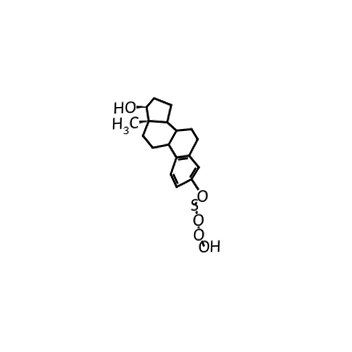 C[C@]12CCC3c4ccc(OSOOO)cc4CCC3C1CC[C@@H]2O